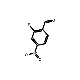 O=Cc1ccc([N+](=O)[O-])cc1F